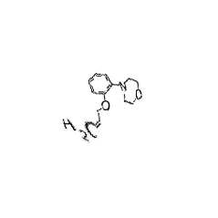 C=CCOc1ccccc1N1CCOCC1